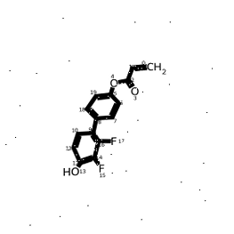 C=CC(=O)Oc1ccc(-c2ccc(O)c(F)c2F)cc1